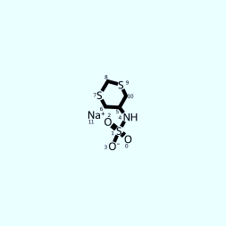 O=S(=O)([O-])NC1CSCSC1.[Na+]